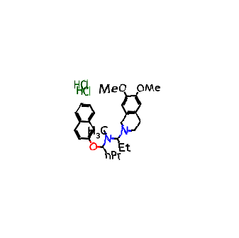 CCCC(Oc1ccc2ccccc2c1)N(C)C(CC)N1CCc2cc(OC)c(OC)cc2C1.Cl.Cl